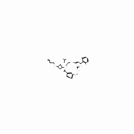 C=CCCNC1CC(N2C(=O)c3cccc(c3)S(=O)(=O)Nc3nc(cc(-c4c(C)cccc4C)n3)OC[C@H]2CC(C)C)C1